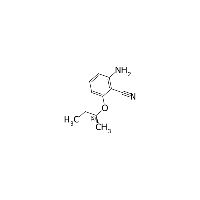 CC[C@H](C)Oc1cccc(N)c1C#N